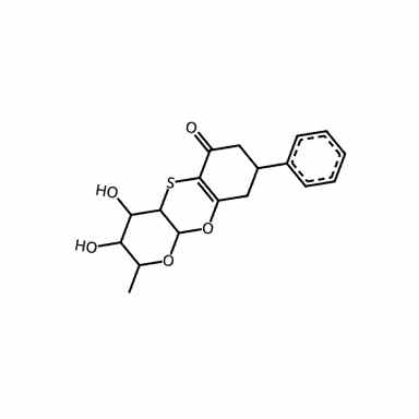 CC1OC2OC3=C(SC2C(O)C1O)C(=O)CC(c1ccccc1)C3